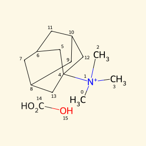 C[N+](C)(C)C12CC3CC(CC(C3)C1)C2.O=C(O)O